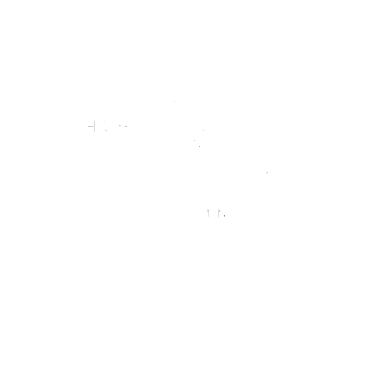 Cc1cc(C(=O)NC2CC2)cs1